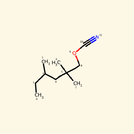 CCC(C)CC(C)(C)COC#N